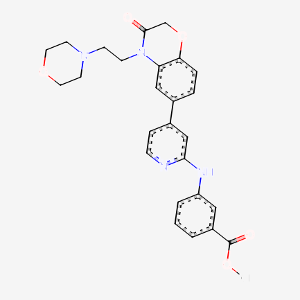 COC(=O)c1cccc(Nc2cc(-c3ccc4c(c3)N(CCN3CCOCC3)C(=O)CO4)ccn2)c1